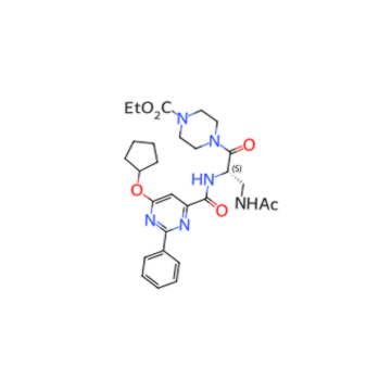 CCOC(=O)N1CCN(C(=O)[C@H](CNC(C)=O)NC(=O)c2cc(OC3CCCC3)nc(-c3ccccc3)n2)CC1